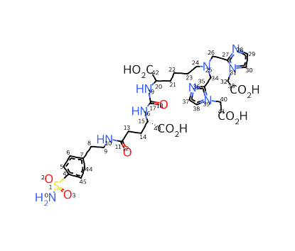 NS(=O)(=O)c1ccc(CCNC(=O)CC[C@H](NC(=O)NC(CCCCN(Cc2nccn2CC(=O)O)Cc2nccn2CC(=O)O)C(=O)O)C(=O)O)cc1